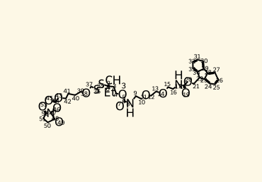 CCC(C)(CCOC(=O)NCCOCCOCCNC(=O)OCC1c2ccccc2-c2ccccc21)SSCOCCCCOC(=O)ON1C(=O)CCC1=O